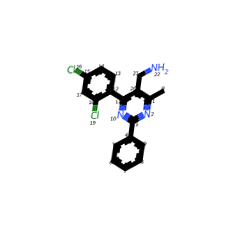 Cc1nc(-c2ccccc2)nc(-c2ccc(Cl)cc2Cl)c1CN